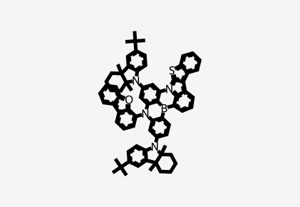 CC(C)(C)c1ccc2c(c1)C1(C)CCCCC1(C)N2c1ccc2c(c1)N(c1cccc3c1oc1ccccc13)c1cc(N3c4ccc(C(C)(C)C)cc4C4(C)CCCCC34C)cc3c1B2c1cccc2c4c5ccccc5sc4n-3c12